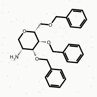 N[C@@H]1CO[C@H](COCc2ccccc2)[C@H](OCc2ccccc2)[C@@H]1OCc1ccccc1